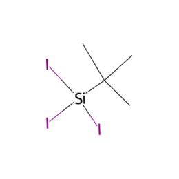 CC(C)(C)[Si](I)(I)I